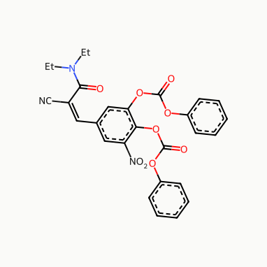 CCN(CC)C(=O)C(C#N)=Cc1cc(OC(=O)Oc2ccccc2)c(OC(=O)Oc2ccccc2)c([N+](=O)[O-])c1